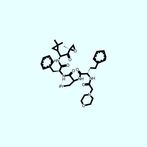 CC(C)CC(NC(=O)[C@H](CCc1ccccc1)NC(=O)CN1CCOCC1)C(=O)N[C@@H](Cc1ccccc1)C(=O)N[C@H](C(=O)[C@@]1(C)CO1)C1CC1(C)C